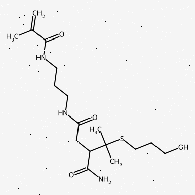 C=C(C)C(=O)NCCCNC(=O)CC(C(N)=O)C(C)(C)SCCCO